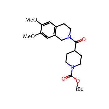 COc1cc2c(cc1OC)CN(C(=O)C1CCN(C(=O)OC(C)(C)C)CC1)CC2